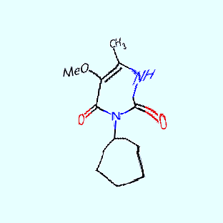 COc1c(C)[nH]c(=O)n(C2CCCCC2)c1=O